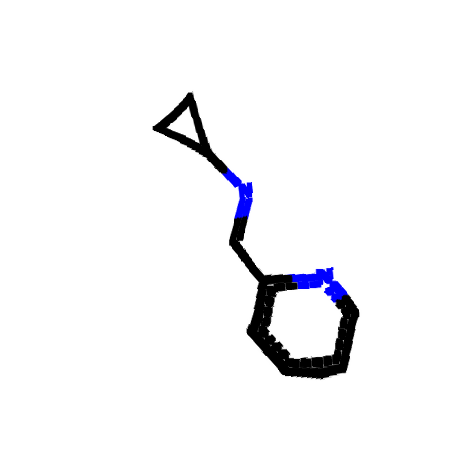 C(=NC1CC1)c1ccccn1